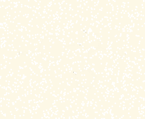 O=C(O)c1cnn([C@H]2CC[C@@H](O)CC2)c1-n1cccn1